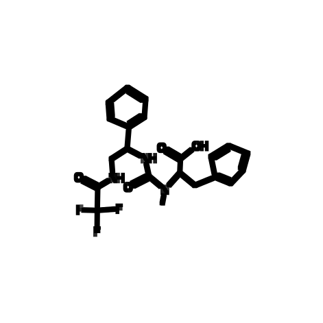 CN(C(=O)NC(CNC(=O)C(F)(F)F)c1ccccc1)C(Cc1ccccc1)C(=O)O